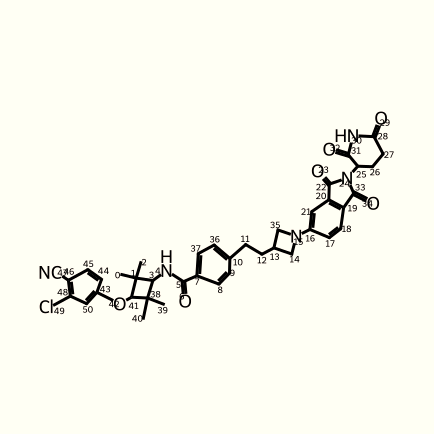 CC1(C)C(NC(=O)c2ccc(CCC3CN(c4ccc5c(c4)C(=O)N(C4CCC(=O)NC4=O)C5=O)C3)cc2)C(C)(C)C1Oc1ccc(C#N)c(Cl)c1